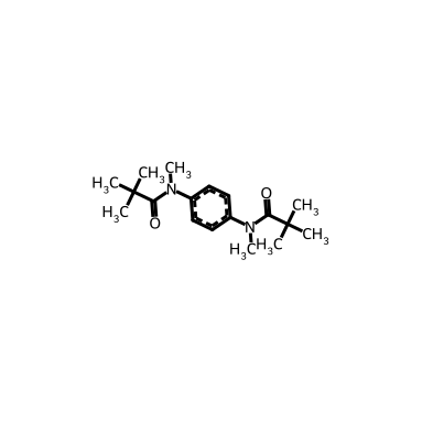 CN(C(=O)C(C)(C)C)c1ccc(N(C)C(=O)C(C)(C)C)cc1